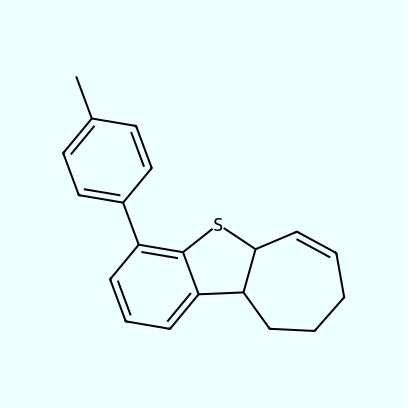 Cc1ccc(-c2cccc3c2SC2C=CCCCC32)cc1